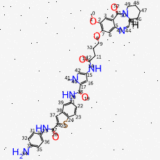 COc1cc2c(cc1OCCCC(=O)Nc1cc(C(=O)Nc3ccc4sc(C(=O)Nc5ccc(N)cc5)cc4c3)n(C)c1)N=C[C@@H]1CCCCN1C2=O